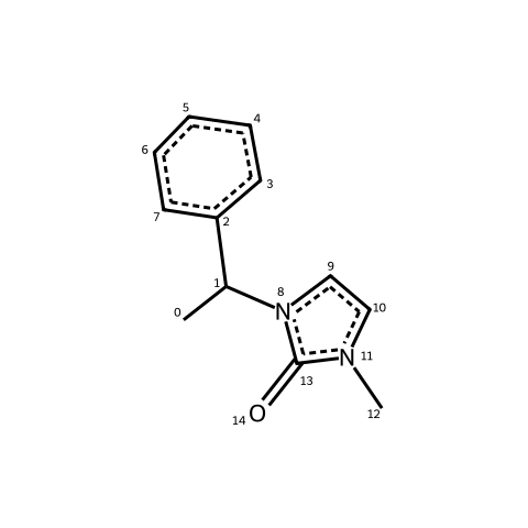 CC(c1ccccc1)n1ccn(C)c1=O